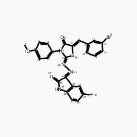 COc1ccc(N2C(=O)C(=Cc3cccc(Br)c3)SC2=NN=C2C(=O)Nc3ccc(F)cc32)cc1